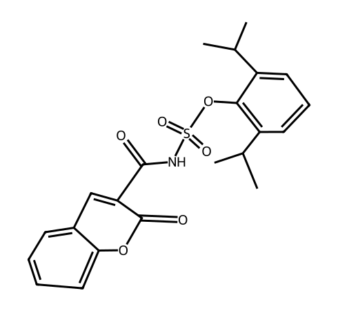 CC(C)c1cccc(C(C)C)c1OS(=O)(=O)NC(=O)c1cc2ccccc2oc1=O